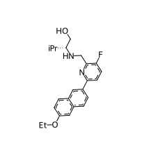 CCOc1ccc2cc(-c3ccc(F)c(CN[C@@H](CO)C(C)C)n3)ccc2c1